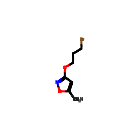 O=C(O)c1cc(OCCCBr)no1